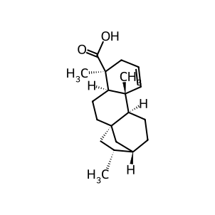 C[C@@H]1C[C@]23CC[C@@H]4[C@](C)(C=CC[C@]4(C)C(=O)O)[C@H]2CC[C@H]1C3